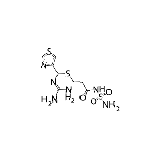 NC(N)=NC(SCCC(=O)NS(N)(=O)=O)c1cscn1